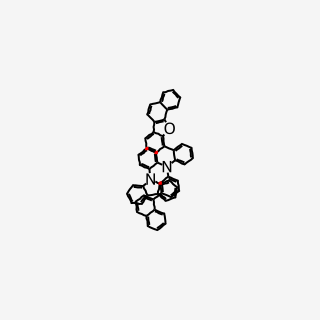 c1cc(-c2cccc3ccccc23)cc(N(c2ccccc2-c2cccc3c2oc2c4ccccc4ccc32)c2ccccc2-n2c3ccccc3c3ccccc32)c1